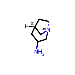 NC1C[C@@H]2CC[N@](C1)C2